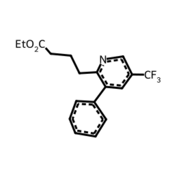 CCOC(=O)CCCc1ncc(C(F)(F)F)cc1-c1ccccc1